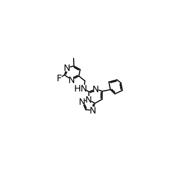 Cc1cc(CNc2nc(-c3ccccc3)cc3ncnn23)nc(F)n1